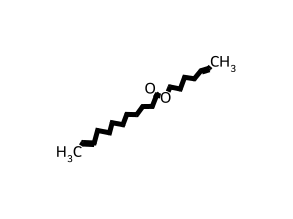 C/C=C/CCCCCCCCC(=O)OCCCC/C=C/C